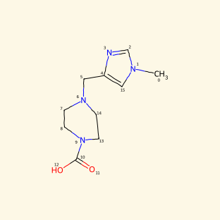 Cn1cnc(CN2CCN(C(=O)O)CC2)c1